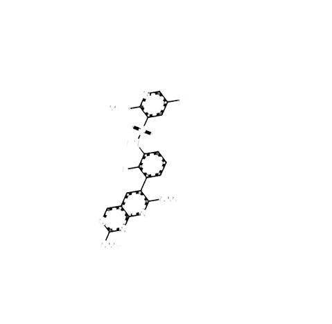 CNc1ncc2cc(-c3cccc(NS(=O)(=O)c4cc(Br)cnc4OC)c3F)c(NC)nc2n1